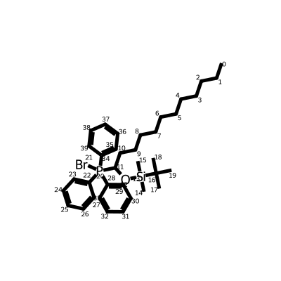 CCCCCCCCCCCC(O[Si](C)(C)C(C)(C)C)P(Br)(c1ccccc1)(c1ccccc1)c1ccccc1